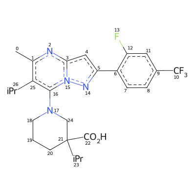 Cc1nc2cc(-c3ccc(C(F)(F)F)cc3F)nn2c(N2CCCC(C(=O)O)(C(C)C)C2)c1C(C)C